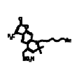 CC(=O)CCCCCN1c2cc3oc(=O)cc(C(F)(F)F)c3cc2C(CS(=O)(=O)O)=CC1(C)C